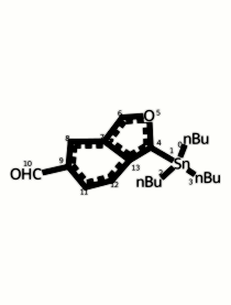 CCC[CH2][Sn]([CH2]CCC)([CH2]CCC)[c]1occ2cc(C=O)ccc12